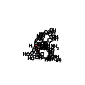 CC(C)C[C@@H](N)C(=O)N[C@H]1C(=O)N[C@@H](CC(N)=O)C(=O)N[C@H]2C(=O)N[C@H]3C(=O)N[C@H](C(=O)N[C@H](C(=O)O)c4cc(O)cc(O)c4-c4cc3ccc4O)[C@H](O)c3ccc(c(Cl)c3)Oc3cc2cc(c3OC2OC(CO)C(O)C(O)C2OC2CC(C)(N)C(O)C(C)O2)Oc2ccc(cc2Cl)[C@H]1O